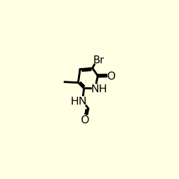 Cc1cc(Br)c(=O)[nH]c1NC=O